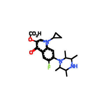 CC1NC(C)C(C)N(c2cc3c(cc2F)c(=O)c(OC(=O)O)cn3C2CC2)C1C